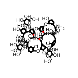 CC(=O)N[C@H]1[C@H](O[C@@H]2c3ccc(c(Cl)c3)Oc3cc4cc(c3O[C@@H]3O[C@H](CO)[C@@H](O)[C@H](O)[C@H]3N)Oc3ccc(cc3Cl)C[C@H]3NC(=O)[C@@H](N)c5ccc(O)c(c5)Oc5cc(O)cc(c5)[C@H](NC3=O)C(=O)N[C@H]4C(=O)N[C@H]3C(=O)N[C@@H]2C(=O)N(O)[C@@H](C(C)=O)c2cc(O)cc(O[C@H]4O[C@H](CO)[C@@H](O)[C@H](O)[C@@H]4O)c2-c2cc3ccc2O)O[C@H](CO)[C@@H](O)[C@@H]1O